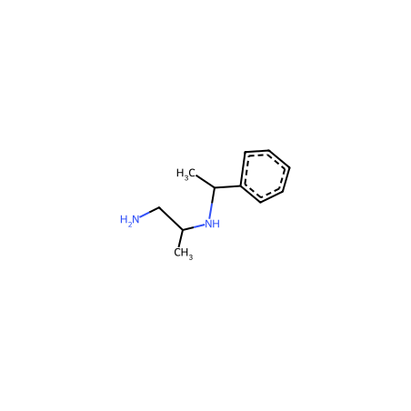 CC(CN)NC(C)c1ccccc1